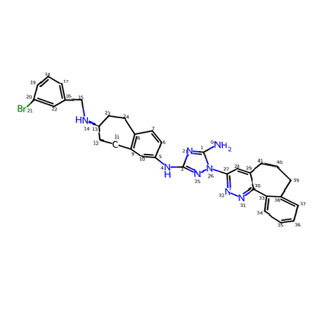 Nc1nc(Nc2ccc3c(c2)CC[C@@H](NCc2cccc(Br)c2)CC3)nn1-c1cc2c(nn1)-c1ccccc1CCC2